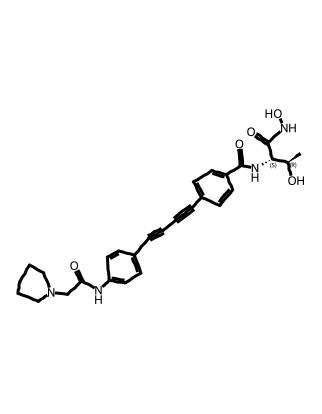 C[C@@H](O)[C@H](NC(=O)c1ccc(C#CC#Cc2ccc(NC(=O)CN3CCCCC3)cc2)cc1)C(=O)NO